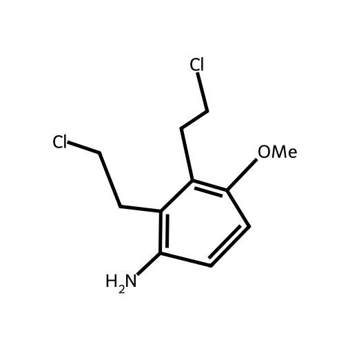 COc1ccc(N)c(CCCl)c1CCCl